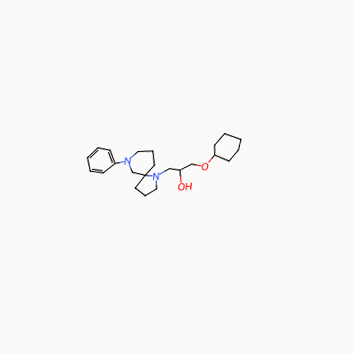 OC(COC1CCCCC1)CN1CCCC12CCCN(c1ccccc1)C2